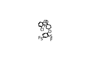 O=C1CCC(Oc2ccc(SF)cc2SF)CN1c1c(Cl)cccc1Cl